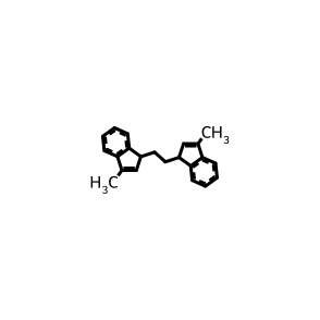 CC1=CC(CCC2C=C(C)c3ccccc32)c2ccccc21